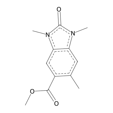 COC(=O)c1cc2c(cc1C)n(C)c(=O)n2C